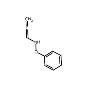 C=C=CNOc1ccccc1